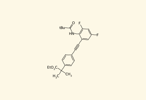 CCOC(=O)C(C)(C)c1ccc(C#Cc2cc(F)cc(F)c2NC(=O)C(C)(C)C)cc1